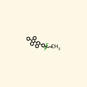 CCCCC(F)(F)c1ccc(-c2ccc(-c3c4ccccc4c(-c4ccccc4)c4ccccc34)c3ccccc23)cc1